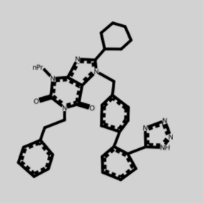 CCCn1c(=O)n(CCc2ccccc2)c(=O)c2c1nc(C1CCCCC1)n2Cc1ccc(-c2ccccc2-c2nnn[nH]2)cc1